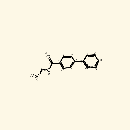 COCOC(=O)c1ccc(-c2ccccc2)cc1